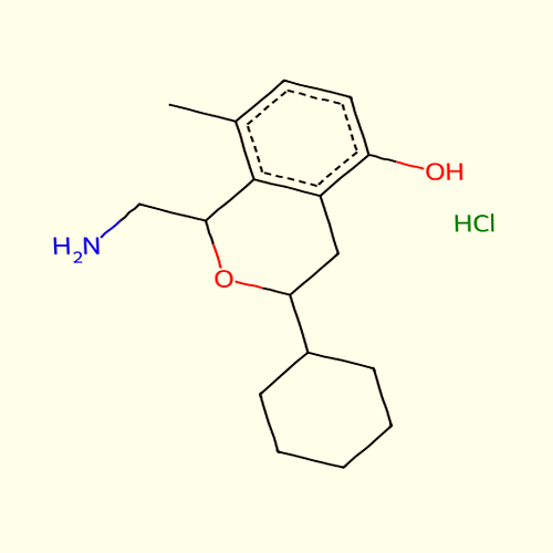 Cc1ccc(O)c2c1C(CN)OC(C1CCCCC1)C2.Cl